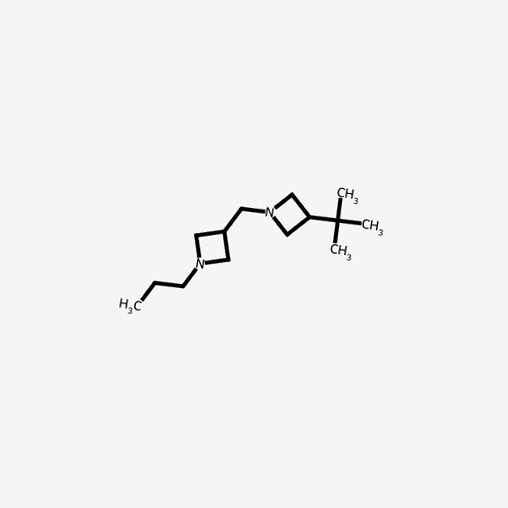 CCCN1CC(CN2CC(C(C)(C)C)C2)C1